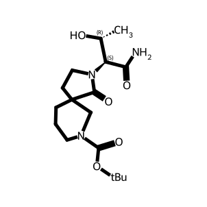 C[C@@H](O)[C@@H](C(N)=O)N1CCC2(CCCN(C(=O)OC(C)(C)C)C2)C1=O